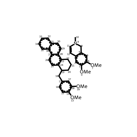 COc1cc2c(cc1OC)CN(C)C=C2.COc1ccc(CC2CCCc3c2ccc2c3ccc3ccccc32)cc1OC